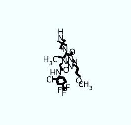 CCc1c(N2CC3(CNC3)C2)c(=O)n2nc(/C=C/COC)nc2n1CC(=O)Nc1ccc(C(F)(F)F)cc1Cl